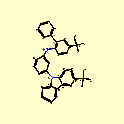 CC(C)(C)c1ccc(Nc2cccc(-n3c4ccccc4c4cc(C(C)(C)C)ccc43)c2)c(-c2ccccc2)c1